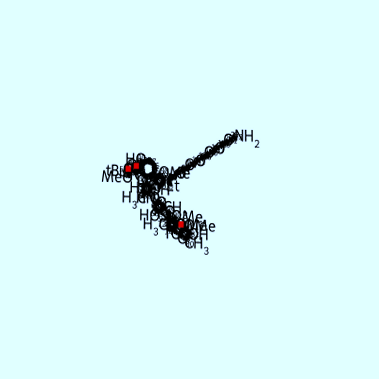 CCN(CCCOCCOCCOCCOCCOCCOCCN)[C@H]1CO[C@@H](O[C@H]2[C@H](O[C@H]3C#CC=CC#C[C@]4(O)CC(=O)C(NC(=O)OC)=C3/C4=C\CSSC(C)(C)C)O[C@H](C)[C@@H](NO[C@H]3C[C@H](O)[C@H](SC(=O)c4c(C)c(I)c(O[C@@H]5O[C@@H](C)[C@H](O)[C@@H](OC)[C@H]5O)c(OC)c4OC)[C@@H](C)O3)[C@@H]2O)C[C@@H]1OC